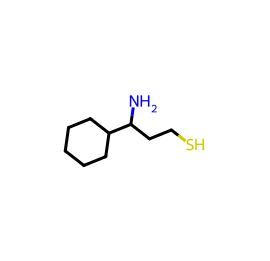 NC(CCS)C1CCCCC1